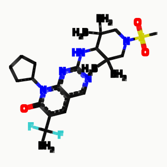 BC(F)(F)c1cc2cnc(NC3C(B)(B)CN(S(C)(=O)=O)CC3(B)B)nc2n(C2CCCC2)c1=O